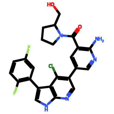 Nc1ncc(-c2cnc3[nH]cc(-c4cc(F)ccc4F)c3c2Cl)cc1C(=O)N1CCCC1CO